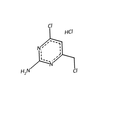 Cl.Nc1nc(Cl)cc(CCl)n1